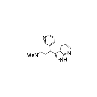 CNCCC(C1=CNC2=NC=CCC12)c1cccnc1